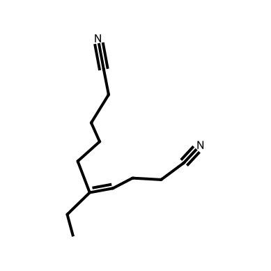 CCC(=CCCC#N)CCCCC#N